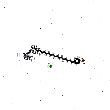 COc1ccc(CCCCCCCCCCCCCCCCCC[N+](C)(C)CCC[N+](C)(C)C)cc1.[Cl-].[Cl-]